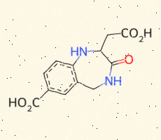 O=C(O)CC1Nc2ccc(C(=O)O)cc2CNC1=O